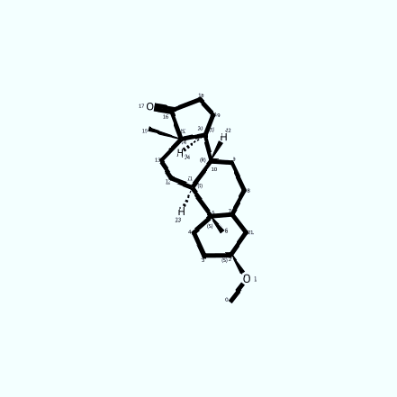 CO[C@H]1CC[C@@]2(C)C(CC[C@@H]3[C@@H]2CC[C@]2(C)C(=O)CC[C@@H]32)C1